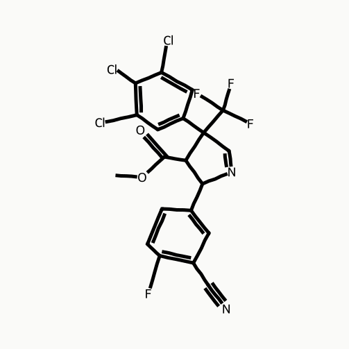 COC(=O)C1C(c2ccc(F)c(C#N)c2)N=CC1(c1cc(Cl)c(Cl)c(Cl)c1)C(F)(F)F